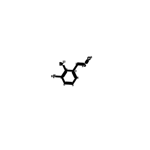 O=S=[C]c1cccc(F)c1Br